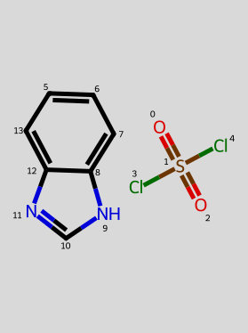 O=S(=O)(Cl)Cl.c1ccc2[nH]cnc2c1